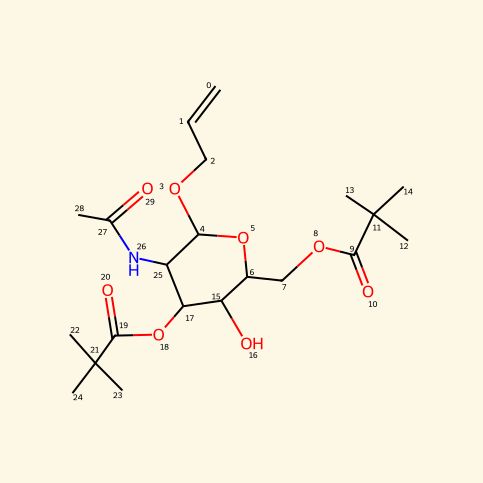 C=CCOC1OC(COC(=O)C(C)(C)C)C(O)C(OC(=O)C(C)(C)C)C1NC(C)=O